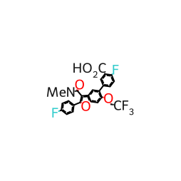 CNC(=O)c1c(-c2ccc(F)cc2)oc2cc(OCC(F)(F)F)c(-c3ccc(F)c(C(=O)O)c3)cc12